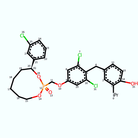 CC(C)c1cc(Cc2c(Cl)cc(OCP3(=O)OCCCCC[C@@H](c4cccc(Cl)c4)O3)cc2Cl)ccc1O